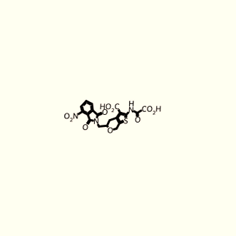 O=C(O)C(=O)Nc1sc2c(c1C(=O)O)CC(CN1C(=O)c3cccc([N+](=O)[O-])c3C1=O)OC2